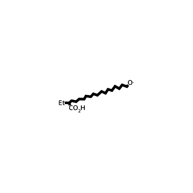 CCC(CCCCCCCCCCCCCCCC[O])C(=O)O